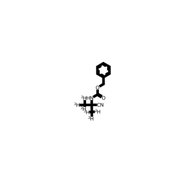 [2H]C([2H])([2H])C(C#N)(NC(=O)OCc1ccccc1)C([2H])([2H])[2H]